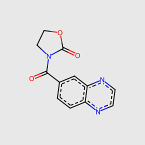 O=C1OCCN1C(=O)c1ccc2nccnc2c1